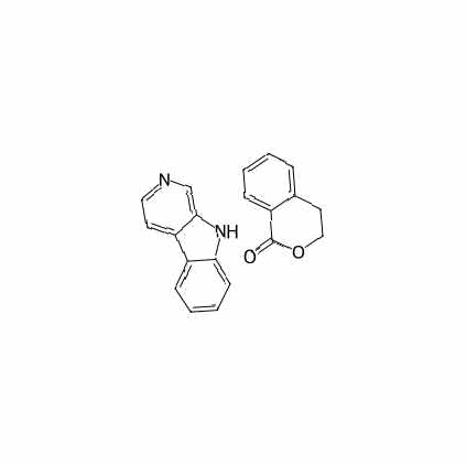 O=C1OCCc2ccccc21.c1ccc2c(c1)[nH]c1cnccc12